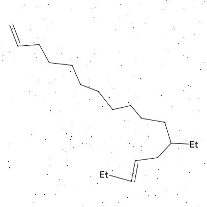 C=CCCCCCCCCCC(CC)CC=CCC